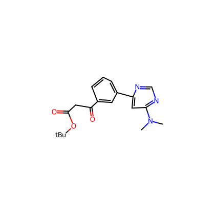 CN(C)c1cc(-c2cccc(C(=O)CC(=O)OC(C)(C)C)c2)ncn1